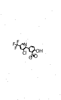 O=[N+]([O-])c1cc(-c2ncc(C(F)(F)F)cc2Cl)ccc1O